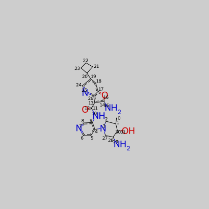 CC1CN(c2ccncc2NC(=O)c2c(N)oc3cc(C4CCC4)cnc23)CC(N)C1O